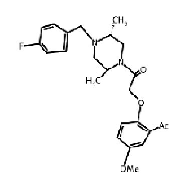 COc1ccc(OCC(=O)N2C[C@@H](C)N(Cc3ccc(F)cc3)C[C@@H]2C)c(C(C)=O)c1